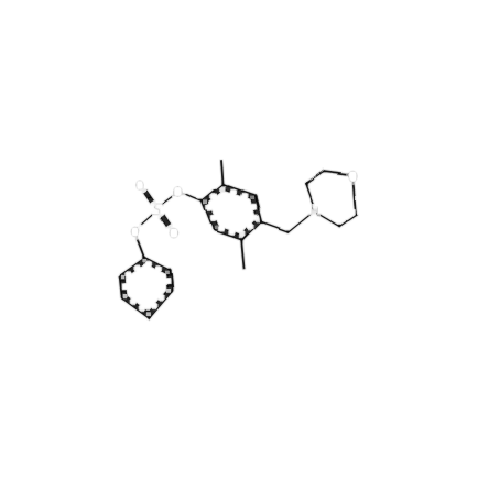 Cc1cc(OS(=O)(=O)Oc2ccccc2)c(C)cc1CN1CCOCC1